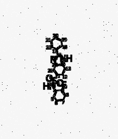 O=S(=O)(Nc1ccccc1F)c1ccc2[nH]c(-c3ccccc3)nc2c1